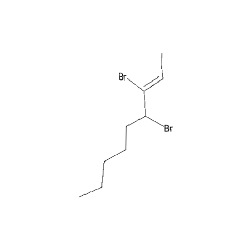 CC=C(Br)C(Br)CCCCC